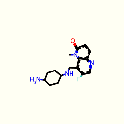 Cn1c(=O)ccc2ncc(F)c(CNC3CCC(N)CC3)c21